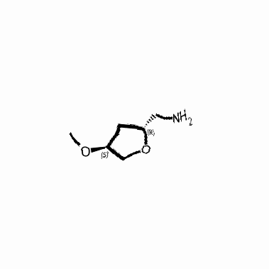 CO[C@@H]1CO[C@@H](CN)C1